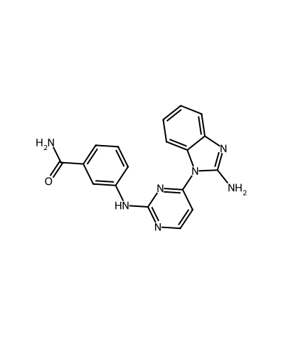 NC(=O)c1cccc(Nc2nccc(-n3c(N)nc4ccccc43)n2)c1